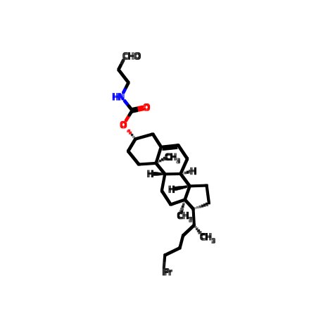 CC(C)CCC[C@@H](C)[C@H]1CC[C@H]2[C@@H]3CC=C4C[C@@H](OC(=O)NCCC=O)CC[C@]4(C)[C@H]3CC[C@]12C